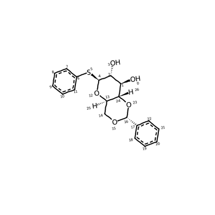 O[C@@H]1[C@@H](O)[C@H](Sc2ccccc2)O[C@@H]2CO[C@@H](c3ccccc3)O[C@@H]12